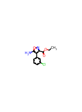 CCOC(=O)c1noc(N)c1-c1cccc(Cl)c1